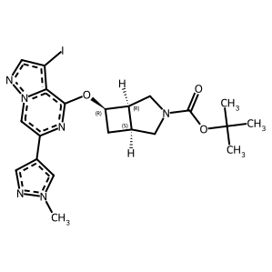 Cn1cc(-c2cn3ncc(I)c3c(O[C@@H]3C[C@@H]4CN(C(=O)OC(C)(C)C)C[C@@H]43)n2)cn1